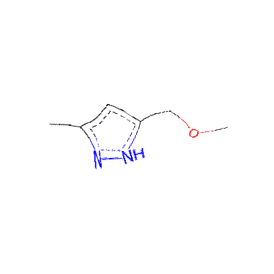 COCc1cc(C)n[nH]1